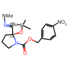 CNN=C[C@@]1(O[Si](C)(C)C(C)(C)C)CCCN1C(=O)OCc1ccc([N+](=O)[O-])cc1